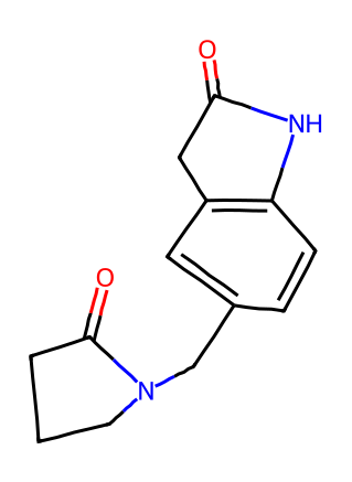 O=C1Cc2cc(CN3CCCC3=O)ccc2N1